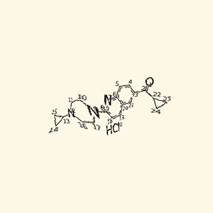 Cl.O=C(c1ccc2nc(N3CCN(C4CC4)CC3)ccc2c1)C1CC1